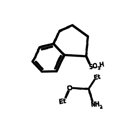 CCOC(N)CC.O=S(=O)(O)C1CCCc2ccccc21